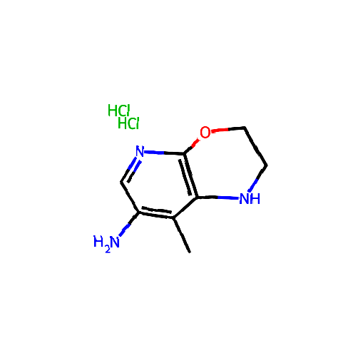 Cc1c(N)cnc2c1NCCO2.Cl.Cl